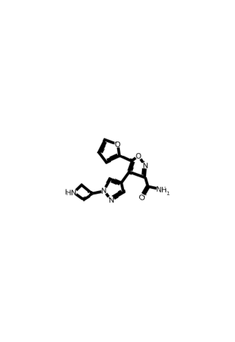 NC(=O)c1noc(-c2ccco2)c1-c1cnn(C2CNC2)c1